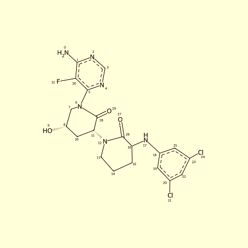 Nc1ncnc(N2C[C@@H](O)C[C@@H](N3CCCC(Nc4cc(Cl)cc(Cl)c4)C3=O)C2=O)c1F